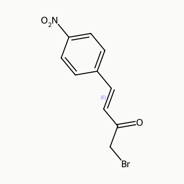 O=C(/C=C/c1ccc([N+](=O)[O-])cc1)CBr